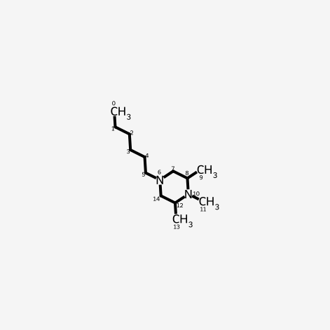 CCCCCCN1CC(C)N(C)C(C)C1